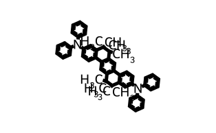 CC1(C)c2cc(N(c3ccccc3)c3ccccc3)ccc2-c2cc3c(cc2C1(C)C)-c1ccc(N(c2ccccc2)c2ccccc2)cc1C(C)(C)C3(C)C